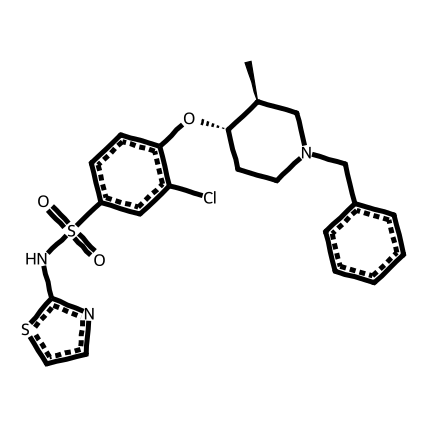 C[C@H]1CN(Cc2ccccc2)CC[C@@H]1Oc1ccc(S(=O)(=O)Nc2nccs2)cc1Cl